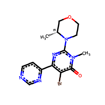 C[C@@H]1COCCN1c1nc(-c2ccncn2)c(Br)c(=O)n1C